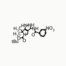 CC(C)(C)OC(=O)N1CC2=C(NNC2NC(=O)c2cccc([N+](=O)[O-])c2)C1(C)C